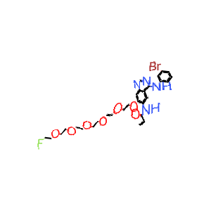 C=CC(=O)Nc1cc2c(Nc3cccc(Br)c3)ncnc2cc1OCCOCCOCCOCCOCCOCCF